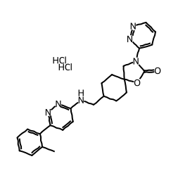 Cc1ccccc1-c1ccc(NCC2CCC3(CC2)CN(c2cccnn2)C(=O)O3)nn1.Cl.Cl